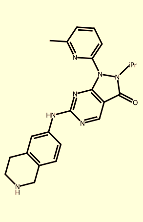 Cc1cccc(-n2c3nc(Nc4ccc5c(c4)CCNC5)ncc3c(=O)n2C(C)C)n1